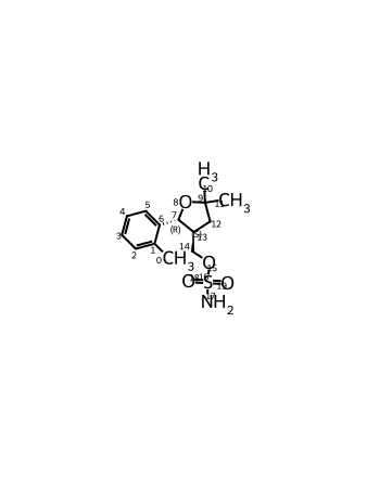 Cc1ccccc1[C@@H]1OC(C)(C)C[C@H]1COS(N)(=O)=O